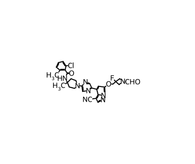 Cc1cccc(Cl)c1C(=O)NC1(C)CCN(c2cnc(-c3cc(OCC4(F)CN(C=O)C4)cn4ncc(C#N)c34)cn2)CC1